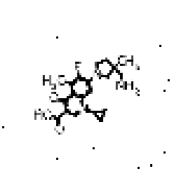 Cc1c(F)c(N2CCC(C)(CN)C2)cc2c1c(=O)c(C(=O)O)cn2C1CC1